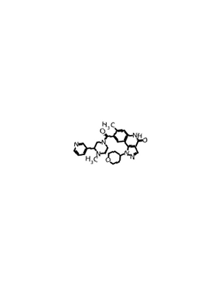 Cc1cc2[nH]c(=O)c3cnn(C4CCOCC4)c3c2cc1C(=O)N1CCN(C)C(c2cccnc2)C1